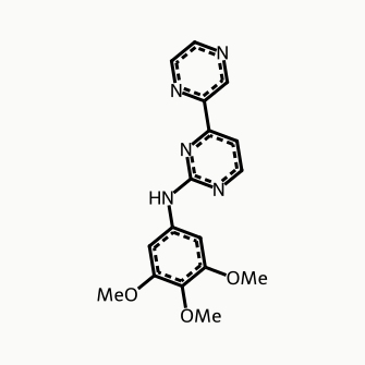 COc1cc(Nc2nccc(-c3cnccn3)n2)cc(OC)c1OC